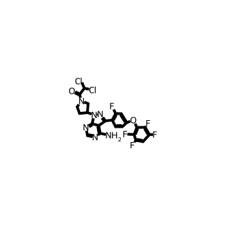 Nc1ncnc2c1c(-c1ccc(Oc3c(F)c(F)cc(F)c3F)cc1F)nn2C1CCN(C(=O)C(Cl)Cl)C1